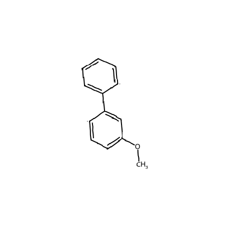 COc1cc[c]c(-c2[c]cccc2)c1